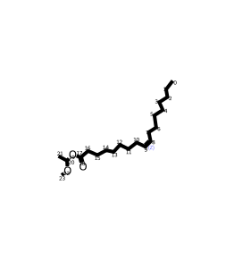 CCCCCCCC/C=C\CCCCCCCC(=O)OC(C)OC